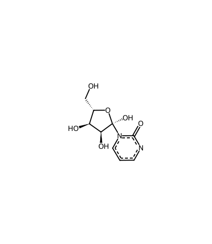 O=c1ncccn1[C@]1(O)O[C@@H](CO)[C@H](O)[C@@H]1O